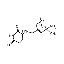 CC/C(=C\C(C)(C)N)CNC1CCC(=O)NC1=O